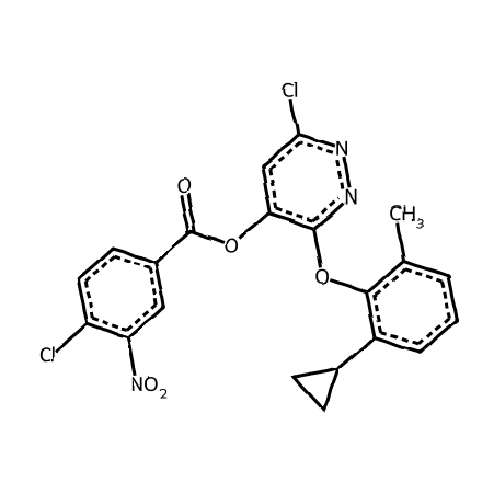 Cc1cccc(C2CC2)c1Oc1nnc(Cl)cc1OC(=O)c1ccc(Cl)c([N+](=O)[O-])c1